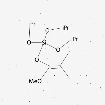 COC(O[Si](OC(C)C)(OC(C)C)OC(C)C)=C(C)C